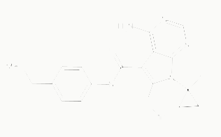 COCc1ccc(NC(=O)c2c(OC(C)C)n(C3(C)CC3)c3ncnc(N)c23)cc1